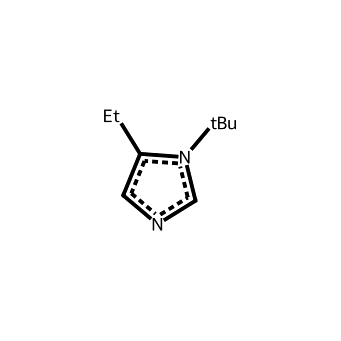 CCc1cncn1C(C)(C)C